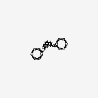 c1cc2ccc3ccc(COCC4COCCOCCOCCOCCOCCO4)nc3c2nc1COCC1COCCOCCOCCOCCOCCO1